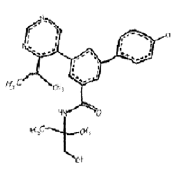 CC(C)c1ncncc1-c1cc(C(=O)NC(C)(C)CO)cc(-c2ccc(Cl)cc2)c1